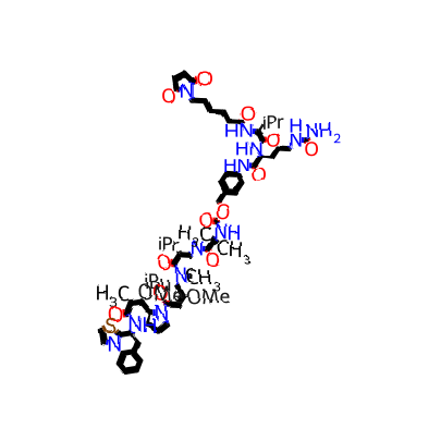 CC[C@H](C)[C@@H]([C@@H](CC(=O)N1CCC[C@H]1[C@H](OC)[C@@H](C)C(=O)N[C@@H](Cc1ccccc1)c1nccs1)OC)N(C)C(=O)C(/C=N/C(=O)C(C)(C)NC(=O)OCc1ccc(NC(=O)[C@H](CCCNC(N)=O)NC(=O)[C@@H](NC(=O)CCCCCN2C(=O)C=CC2=O)C(C)C)cc1)C(C)C